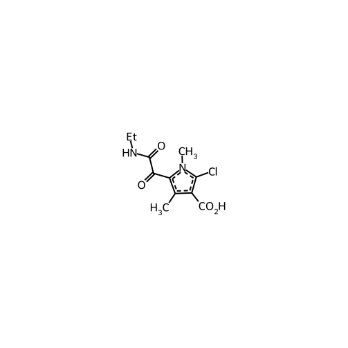 CCNC(=O)C(=O)c1c(C)c(C(=O)O)c(Cl)n1C